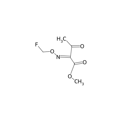 COC(=O)C(=NOCF)C(C)=O